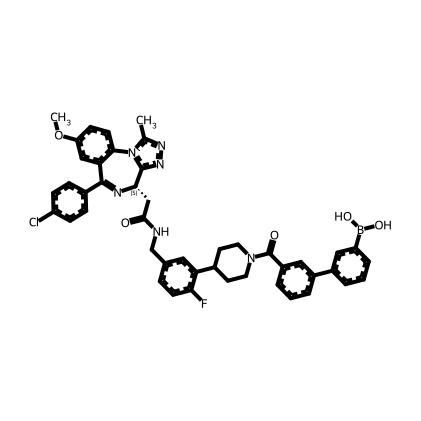 COc1ccc2c(c1)C(c1ccc(Cl)cc1)=N[C@@H](CC(=O)NCc1ccc(F)c(C3CCN(C(=O)c4cccc(-c5cccc(B(O)O)c5)c4)CC3)c1)c1nnc(C)n1-2